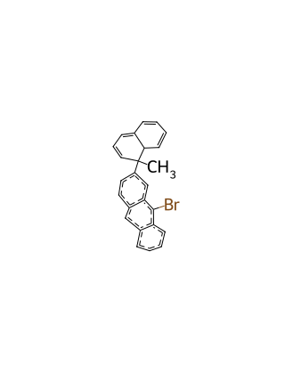 CC1(c2ccc3cc4ccccc4c(Br)c3c2)C=CC=C2C=CC=CC21